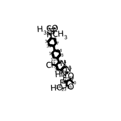 CS(C)(=O)=Nc1ccc(-c2ccc(-c3nc4nc(O[C@@H]5CO[C@H](CO)C5(F)F)[nH]c4cc3Cl)cc2)cc1